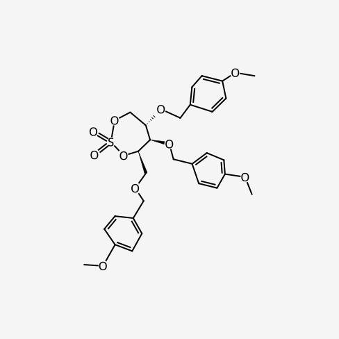 COc1ccc(COC[C@H]2OS(=O)(=O)OC[C@H](OCc3ccc(OC)cc3)[C@H]2OCc2ccc(OC)cc2)cc1